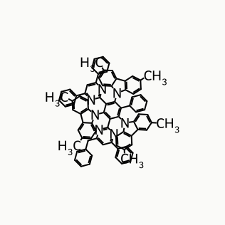 Cc1ccc2c(c1)c1cc(C)ccc1n2-c1c(-c2ccccc2)c(-n2c3ccc(C)cc3c3cc(C)ccc32)c(-c2nc(-c3ccccc3)cc(-c3ccccc3)n2)c(-n2c3ccc(C)cc3c3cc(C)ccc32)c1-c1nc(Cc2ccccc2)cc(-c2ccccc2)n1